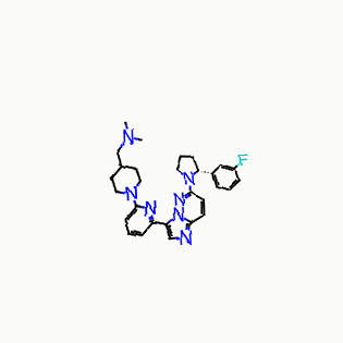 CN(C)CC1CCN(c2cccc(-c3cnc4ccc(N5CCC[C@@H]5c5cccc(F)c5)nn34)n2)CC1